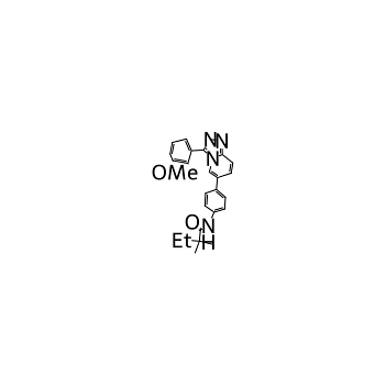 CCC(C)(C)C(=O)Nc1ccc(-c2ccc3nnc(-c4ccccc4OC)n3c2)cc1